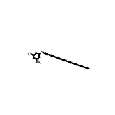 C#CC#CC#CC#CC#CC#CC#CC#COc1cc(N)cc(N)c1